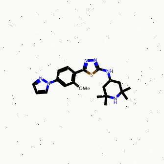 COc1cc(-n2cccn2)ccc1-c1nnc(NC2CC(C)(C)NC(C)(C)C2)s1